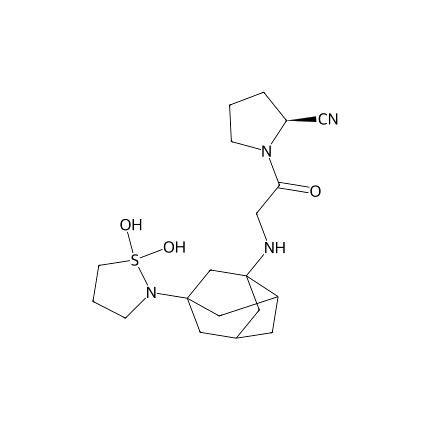 N#C[C@@H]1CCCN1C(=O)CNC12CC3CC1CC(N1CCCS1(O)O)(C3)C2